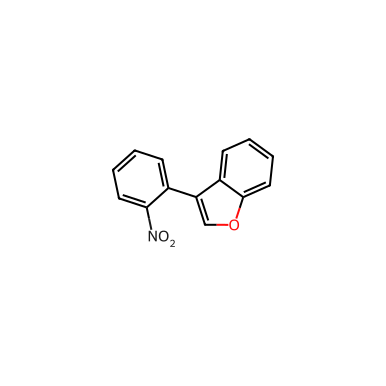 O=[N+]([O-])c1ccccc1-c1coc2ccccc12